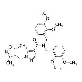 COc1cccc(CN(Cc2cccc(OC)c2OC)C(=O)c2cnn(Cc3c(C)noc3C)c2)c1OC